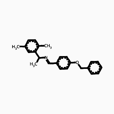 Cc1ccc(C)c(C(C)N=Cc2ccc(OCc3ccccc3)cc2)c1